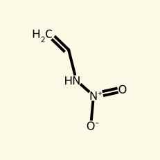 C=CN[N+](=O)[O-]